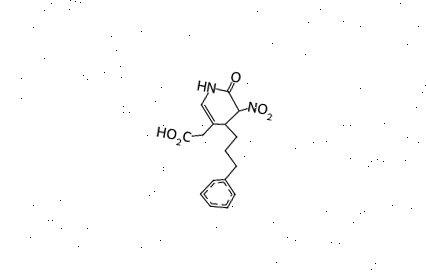 O=C(O)CC1=CNC(=O)C([N+](=O)[O-])C1CCCc1ccccc1